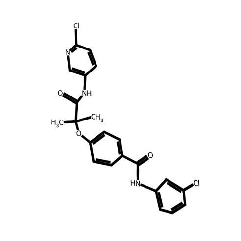 CC(C)(Oc1ccc(C(=O)Nc2cccc(Cl)c2)cc1)C(=O)Nc1ccc(Cl)nc1